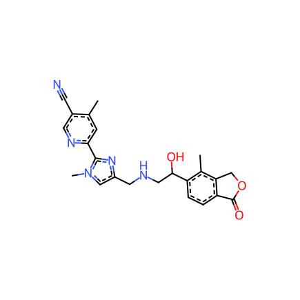 Cc1cc(-c2nc(CNCC(O)c3ccc4c(c3C)COC4=O)cn2C)ncc1C#N